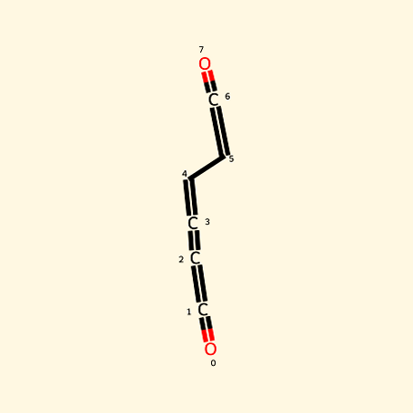 O=C=C=C=CC=C=O